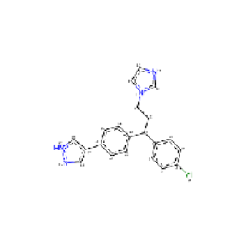 Clc1ccc(C(CCn2ccnc2)c2ccc(-c3cn[nH]c3)cc2)cc1